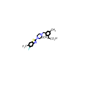 Cc1cc(CC(=O)O)cc(CN2CCN(c3nc4cc(F)c(C(F)(F)F)cc4s3)C[C@H]2C)c1